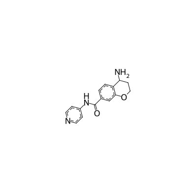 NC1CCOc2cc(C(=O)Nc3ccncc3)ccc21